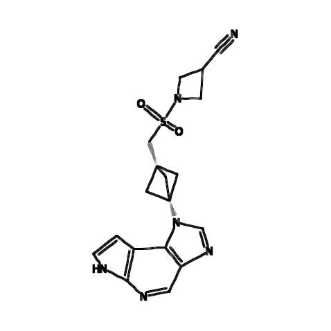 N#CC1CN(S(=O)(=O)C[C@]23C[C@](n4cnc5cnc6[nH]ccc6c54)(C2)C3)C1